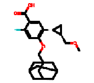 COC[C@@H]1C[C@H]1c1cc(C(=O)O)c(F)cc1OCC12CC3CC(CC(C3)C1)C2